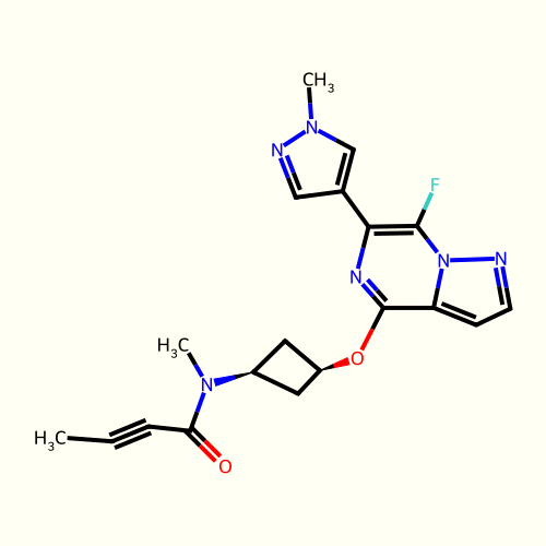 CC#CC(=O)N(C)[C@H]1C[C@@H](Oc2nc(-c3cnn(C)c3)c(F)n3nccc23)C1